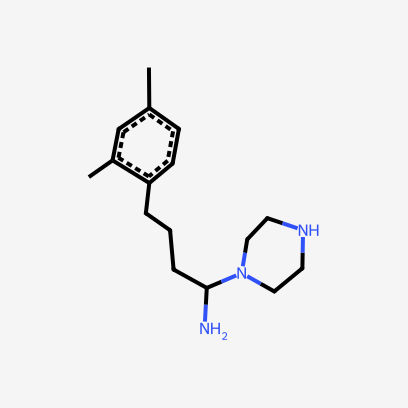 Cc1ccc(CCCC(N)N2CCNCC2)c(C)c1